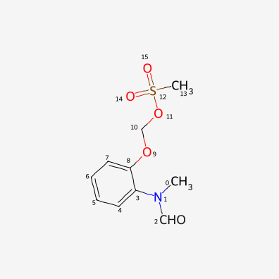 CN(C=O)c1ccccc1OCOS(C)(=O)=O